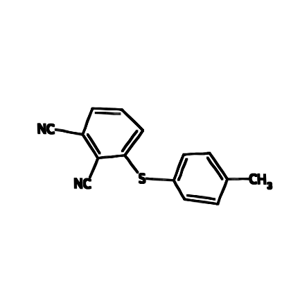 Cc1ccc(Sc2cccc(C#N)c2C#N)cc1